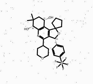 CC1(C)C[C@H](O)c2c(nc(C3CCOCC3)c3c2C2(CCCC2)O[C@@H]3c2ccc(S(F)(F)(F)(F)F)cc2)[C@@H]1O